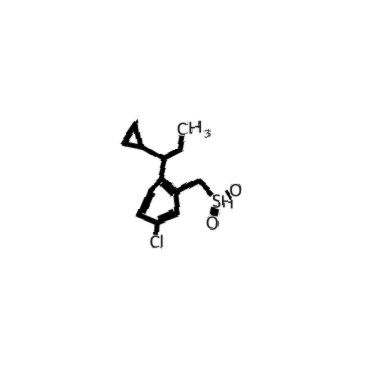 CCC(c1ccc(Cl)cc1C[SH](=O)=O)C1CC1